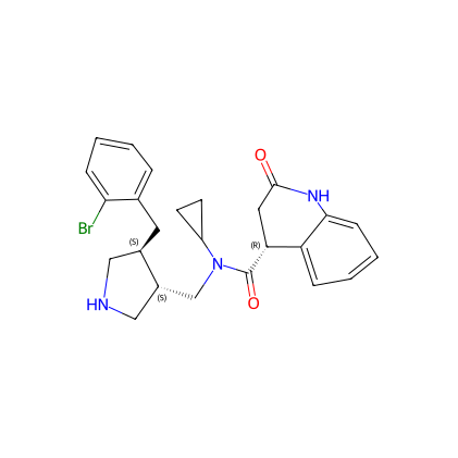 O=C1C[C@@H](C(=O)N(C[C@@H]2CNC[C@H]2Cc2ccccc2Br)C2CC2)c2ccccc2N1